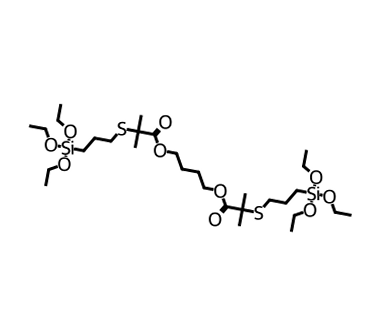 CCO[Si](CCCSC(C)(C)C(=O)OCCCCOC(=O)C(C)(C)SCCC[Si](OCC)(OCC)OCC)(OCC)OCC